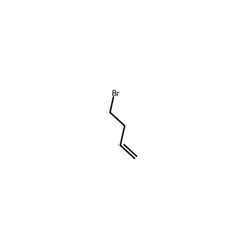 C=[C]CCBr